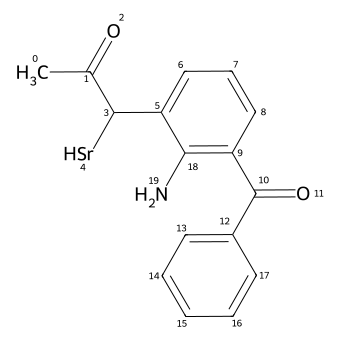 CC(=O)[CH]([SrH])c1cccc(C(=O)c2ccccc2)c1N